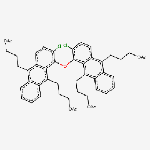 CC(=O)OCCCc1c2ccccc2c(CCCOC(C)=O)c2c(Oc3c(Cl)ccc4c(CCCOC(C)=O)c5ccccc5c(CCCOC(C)=O)c34)c(Cl)ccc12